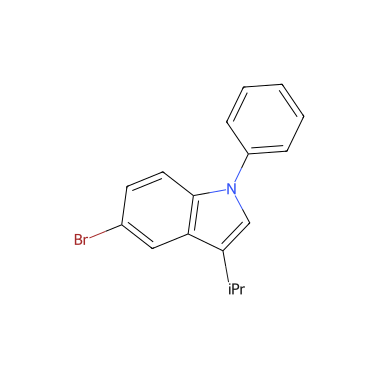 CC(C)c1cn(-c2ccccc2)c2ccc(Br)cc12